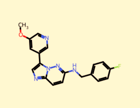 COc1cncc(-c2cnc3ccc(NCc4ccc(F)cc4)nn23)c1